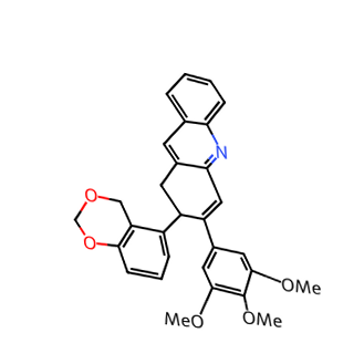 COc1cc(C2=Cc3nc4ccccc4cc3CC2c2cccc3c2COCO3)cc(OC)c1OC